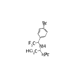 CCCC(NC(c1ccc(Br)cc1)C(F)(F)F)C(=O)O